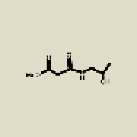 COC(=O)CC(=O)NCC(C)O